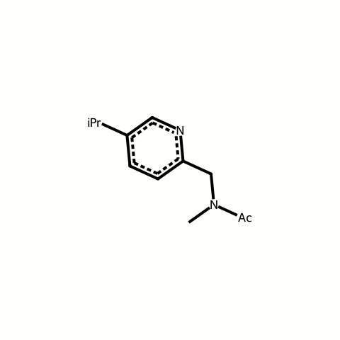 CC(=O)N(C)Cc1ccc(C(C)C)cn1